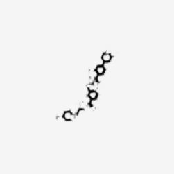 O=C(NCCCN1CCC(F)CC1)c1ccc2c(c1)sc1nc(-c3ccc(C4CCNCC4)cc3F)cn12